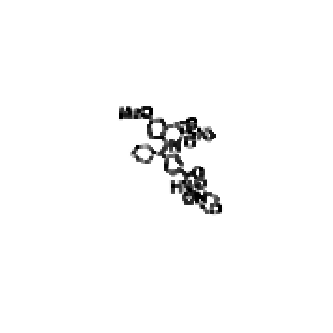 COc1ccc2c(c1)C1CC1(S(=O)(=O)N1CCC1)Cn1c-2c(C2CCCCC2)c2ccc(C(=O)NS(=O)(=O)N3CCOCC3)cc21